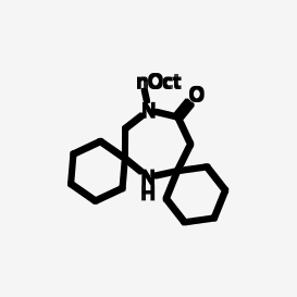 CCCCCCCCN1CC2(CCCCC2)NC2(CCCCC2)CC1=O